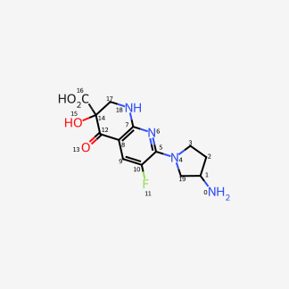 NC1CCN(c2nc3c(cc2F)C(=O)C(O)(C(=O)O)CN3)C1